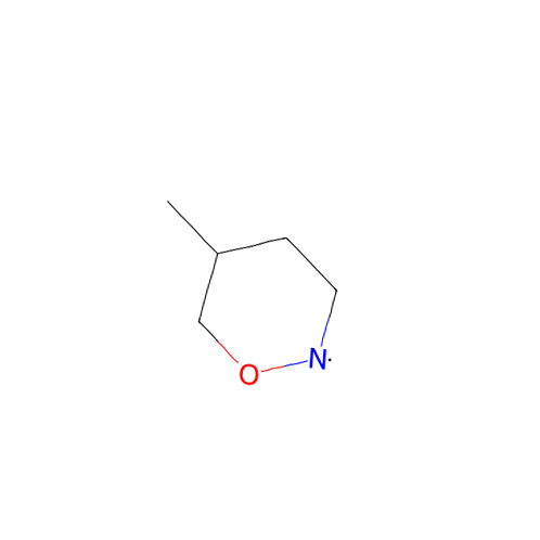 CC1CC[N]OC1